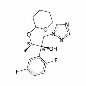 C[C@@H](OC1CCCCO1)[C@](O)(Cn1cncn1)c1cc(F)ccc1F